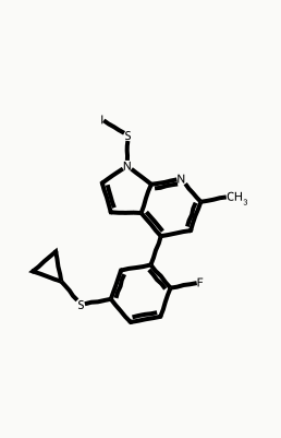 Cc1cc(-c2cc(SC3CC3)ccc2F)c2ccn(SI)c2n1